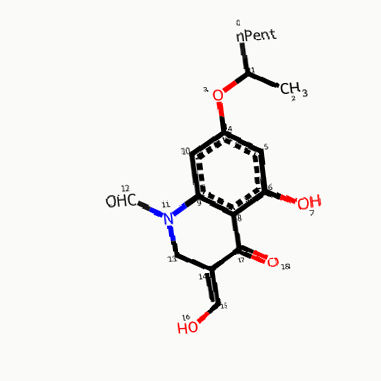 CCCCCC(C)Oc1cc(O)c2c(c1)N(C=O)CC(=CO)C2=O